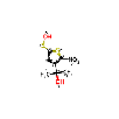 O=[N+]([O-])c1sc(SO)cc1C(O)(C(F)(F)F)C(F)(F)F